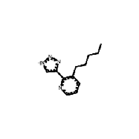 CCCCCc1cccnc1-c1c[nH]nn1